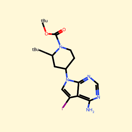 CC(C)(C)OC(=O)N1CCC(n2cc(I)c3c(N)ncnc32)CC1C(C)(C)C